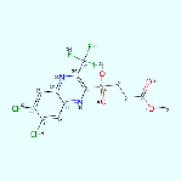 COC(=O)CCS(=O)(=O)c1nc2cc(Cl)c(Cl)cc2nc1C(F)(F)F